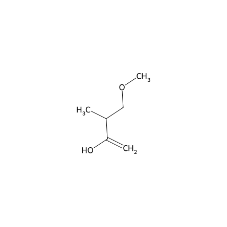 C=C(O)C(C)COC